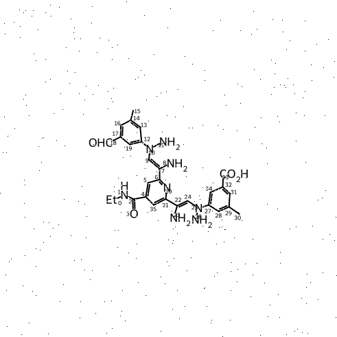 CCNC(=O)c1cc(/C(N)=C/N(N)c2cc(C)cc(C=O)c2)nc(/C(N)=C/N(N)c2cc(C)cc(C(=O)O)c2)c1